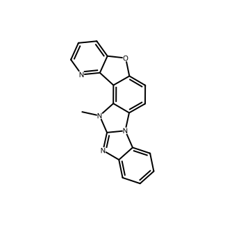 Cn1c2c3c(ccc2n2c4ccccc4nc12)oc1cccnc13